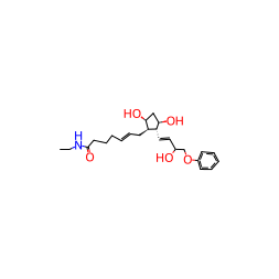 CCNC(=O)CCCC=CC[C@@H]1[C@@H](C=CC(O)COc2ccccc2)[C@H](O)C[C@@H]1O